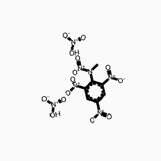 CN(c1c([N+](=O)[O-])cc([N+](=O)[O-])cc1[N+](=O)[O-])[N+](=O)[O-].O=[N+]([O-])O.O=[N+]([O-])O